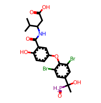 CC(C)C(CC(=O)O)NC(=O)c1cc(Oc2c(Br)cc(C(C)(O)[PH2]=O)cc2Br)ccc1O